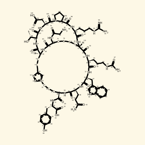 C[C@@H](O)[C@@H]1NC(=O)[C@@H]2CCc3cn(nn3)CCC[C@H](C(=O)N[C@@H](Cc3ccc(O)cc3)C(=O)O)NC(=O)[C@H](CCC(N)=O)NC(=O)[C@H](Cc3c[nH]c4ccccc34)NC(=O)[C@H](CCCNC(N)=O)NC(=O)[C@H](CSSCC(NC(=O)CN)C(=O)N2)NC(=O)[C@H](CCCNC(=N)N)NC(=O)[C@@H]2CCCN2C(=O)[C@H](CC(=O)O)NC1=O